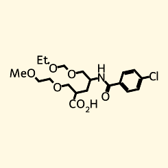 CCOCOCC(CC(COCCOC)C(=O)O)NC(=O)c1ccc(Cl)cc1